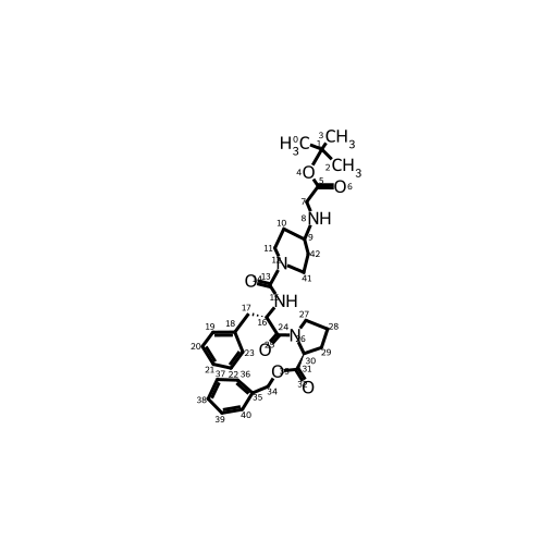 CC(C)(C)OC(=O)CNC1CCN(C(=O)N[C@@H](Cc2ccccc2)C(=O)N2CCC[C@H]2C(=O)OCc2ccccc2)CC1